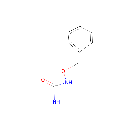 [NH]C(=O)NOCc1ccccc1